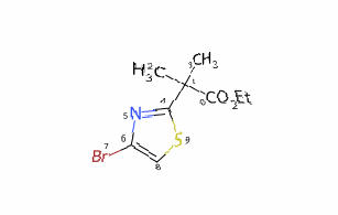 CCOC(=O)C(C)(C)c1nc(Br)cs1